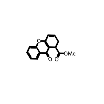 COC(=O)C1CC=Cc2oc3ccccc3c(=O)c21